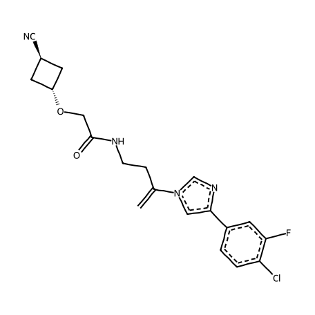 C=C(CCNC(=O)CO[C@H]1C[C@H](C#N)C1)n1cnc(-c2ccc(Cl)c(F)c2)c1